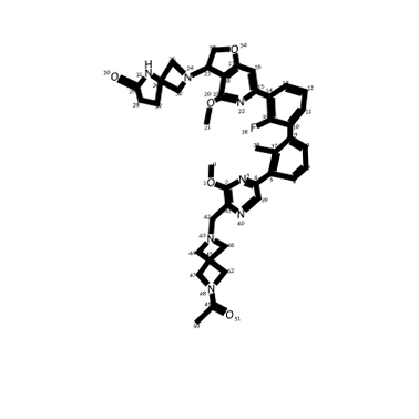 COc1nc(-c2cccc(-c3cccc(-c4cc5c(c(OC)n4)C(N4CC6(CCC(=O)N6)C4)CO5)c3F)c2C)cnc1CN1CC2(C1)CN(C(C)=O)C2